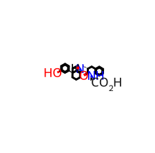 C[C@H]1C2CCC[C@]1(c1cccc(O)c1)CCN2C[C@H](Cc1ccccc1)C(=O)NCC(=O)O